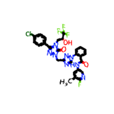 Cc1cc(NC(=O)c2ccccc2-n2cnc(Cn3nc(-c4ccc(Cl)cc4)n(CC(O)C(F)(F)F)c3=O)n2)cnc1F